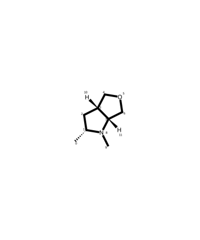 C[C@@H]1C[C@@H]2COC[C@@H]2N1C